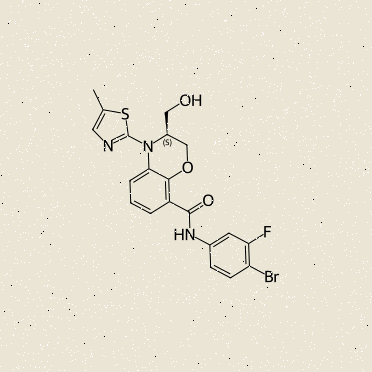 Cc1cnc(N2c3cccc(C(=O)Nc4ccc(Br)c(F)c4)c3OC[C@@H]2CO)s1